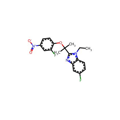 CCn1c(C(C)(C)Oc2ccc([N+](=O)[O-])cc2F)nc2cc(F)ccc21